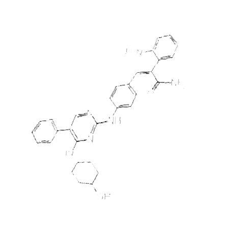 NC(=O)C(=Cc1ccc(Nc2ncc(-c3ccccc3)c(N[C@H]3CC[C@H](O)CC3)n2)cc1)c1ccccc1N